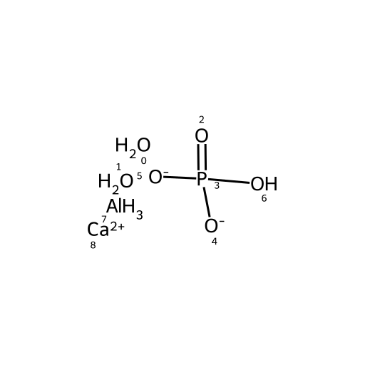 O.O.O=P([O-])([O-])O.[AlH3].[Ca+2]